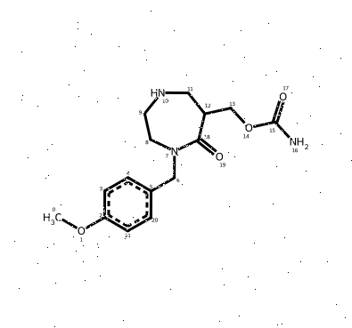 COc1ccc(CN2CCNCC(COC(N)=O)C2=O)cc1